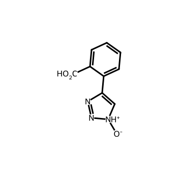 O=C(O)c1ccccc1C1=C[NH+]([O-])N=N1